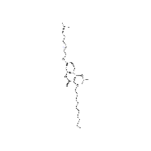 CCCCCCCCCCOc1c(OC(C)C)c2ccc(OC/C=C(\C)CCC=C(C)C)cc2oc1=O